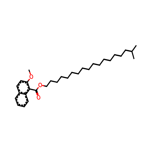 COc1ccc2ccccc2c1C(=O)OCCCCCCCCCCCCCCCCC(C)C